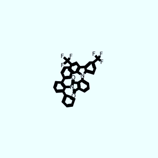 O=C1c2cccc(-n3c4ccc(C(F)(F)F)cc4c4cc(C(F)(F)F)ccc43)c2C(=O)N1c1c(-c2ccccc2)cccc1-c1ccccc1